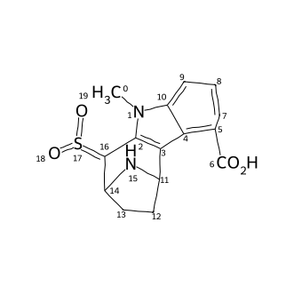 Cn1c2c(c3c(C(=O)O)cccc31)C1CCC(N1)C2=S(=O)=O